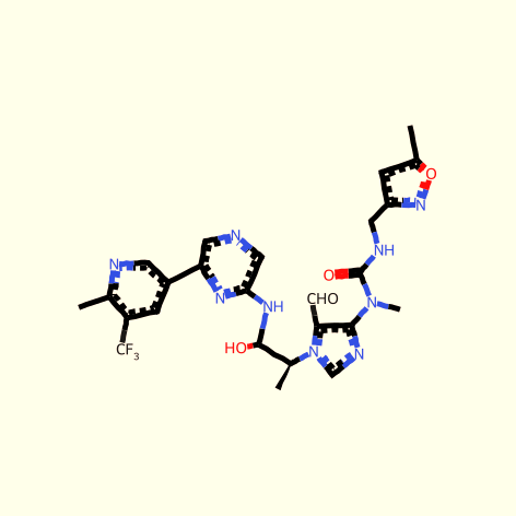 Cc1cc(CNC(=O)N(C)c2ncn([C@@H](C)C(O)Nc3cncc(-c4cnc(C)c(C(F)(F)F)c4)n3)c2C=O)no1